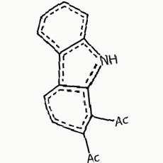 CC(=O)c1ccc2c([nH]c3ccccc32)c1C(C)=O